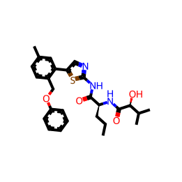 CCC[C@H](NC(=O)[C@@H](O)C(C)C)C(=O)Nc1ncc(-c2cc(C)ccc2COc2ccccc2)s1